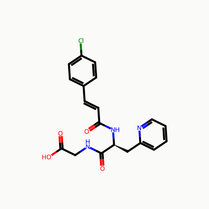 O=C(O)CNC(=O)[C@H](Cc1ccccn1)NC(=O)C=Cc1ccc(Cl)cc1